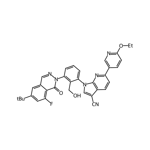 CCOc1ccc(-c2ccc3c(C#N)cn(-c4cccc(-n5ncc6cc(C(C)(C)C)cc(F)c6c5=O)c4CO)c3n2)cn1